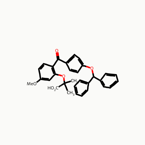 COc1ccc(C(=O)c2ccc(OC(c3ccccc3)c3ccccc3)cc2)c(OC(C)(C)C(=O)O)c1